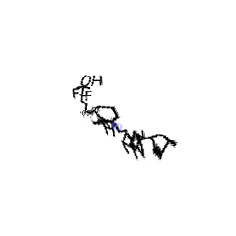 Cc1ccc(-c2nnn(C/C=C3\CCC[C@]4(C)[C@@H]([C@H](C)CCC(F)(F)C(C)(C)O)CC[C@@H]34)n2)cc1